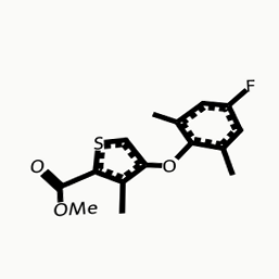 COC(=O)c1scc(Oc2c(C)cc(F)cc2C)c1C